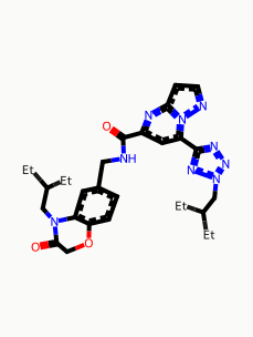 CCC(CC)CN1C(=O)COc2ccc(CNC(=O)c3cc(-c4nnn(CC(CC)CC)n4)n4nccc4n3)cc21